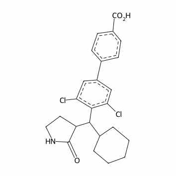 O=C(O)c1ccc(-c2cc(Cl)c(C(C3CCCCC3)C3CCNC3=O)c(Cl)c2)cc1